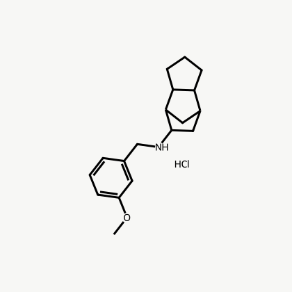 COc1cccc(CNC2CC3CC2C2CCCC32)c1.Cl